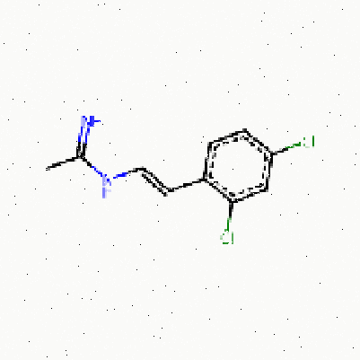 CC(=N)N/C=C/c1ccc(Cl)cc1Cl